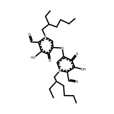 CCCCC(CC)Cn1cc(Oc2cn(CC(CC)CCCC)c(C=O)c(O)c2=O)c(=O)c(O)c1C=O